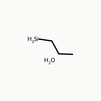 CCC[SiH3].O